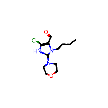 CCCCN1C(C=O)=C(Cl)NC1N1CCOCC1